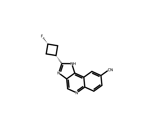 N#Cc1ccc2ncc3nc([C@H]4C[C@@H](F)C4)[nH]c3c2c1